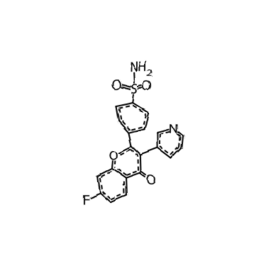 NS(=O)(=O)c1ccc(-c2oc3cc(F)ccc3c(=O)c2-c2cccnc2)cc1